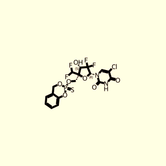 O=c1[nH]c(=O)n([C@@H]2O[C@@](COP3(=S)OCc4ccccc4O3)(C(F)F)[C@H](O)C2(F)F)cc1Cl